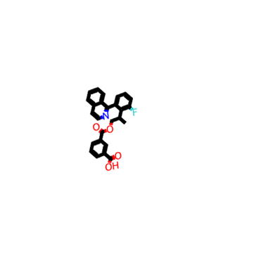 CC(COC(=O)c1cccc(C(=O)O)c1)c1c(F)cccc1-c1nccc2ccccc12